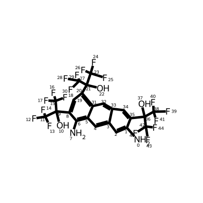 Nc1cc2cc3c(N)c(C(O)(C(F)(F)F)C(F)(F)F)cc(C(O)(C(F)(F)F)C(F)(F)F)c3cc2cc1C(O)(C(F)(F)F)C(F)(F)F